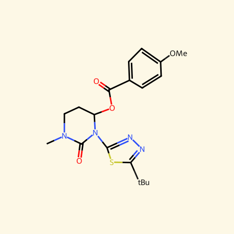 COc1ccc(C(=O)OC2CCN(C)C(=O)N2c2nnc(C(C)(C)C)s2)cc1